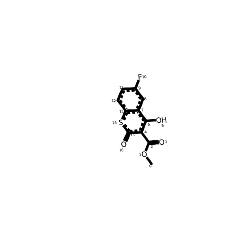 COC(=O)c1c(O)c2cc(F)ccc2sc1=O